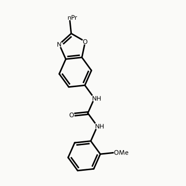 CCCc1nc2ccc(NC(=O)Nc3ccccc3OC)cc2o1